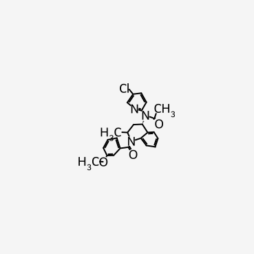 COc1cccc(C(=O)N2c3ccccc3[C@@H](N(C(C)=O)c3ccc(Cl)cn3)CC2C)c1